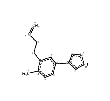 C=NCCc1cc(-c2cn[nH]c2)ccc1C